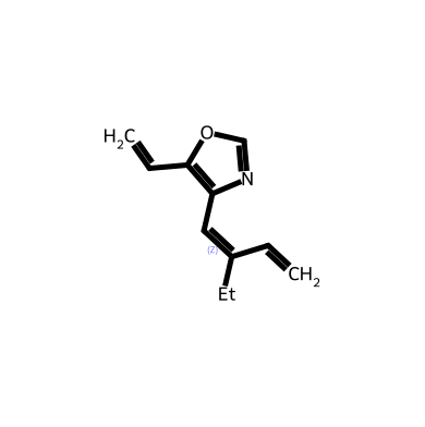 C=C/C(=C\c1ncoc1C=C)CC